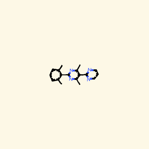 Cc1cccc(C)c1-c1nc(C)c(-c2ncccn2)c(C)n1